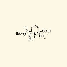 CC(C)(C)OC(=O)C1(C)CC=CC(C)(C(=O)O)N1